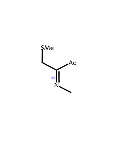 C/N=C(/CSC)C(C)=O